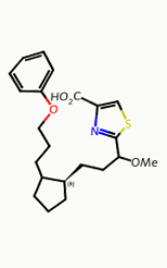 COC(CC[C@H]1CCCC1CCCOc1ccccc1)c1nc(C(=O)O)cs1